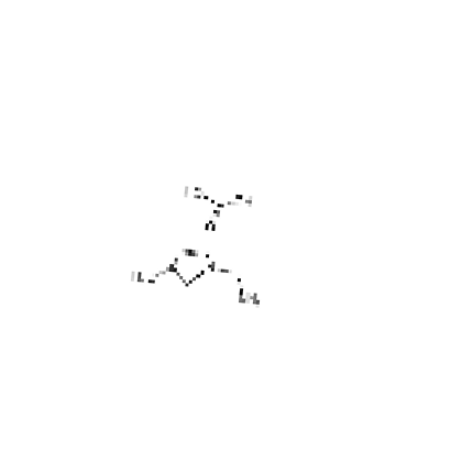 CCN1C=CN(C)C1.O=C(O)O